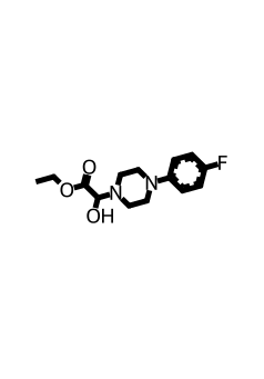 CCOC(=O)C(O)N1CCN(c2ccc(F)cc2)CC1